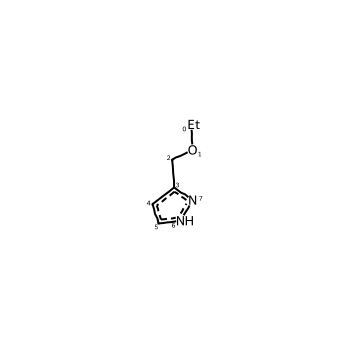 CCOCc1cc[nH]n1